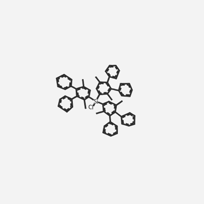 Cc1cc([Si](Cl)(c2cc(C)c(-c3ccccc3)c(-c3ccccc3)c2C)c2cc(C)c(-c3ccccc3)c(-c3ccccc3)c2C)c(C)c(-c2ccccc2)c1-c1ccccc1